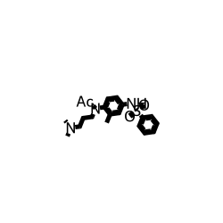 CC(=O)N(CCCN(C)C)c1ccc(NS(=O)(=O)c2ccccc2)cc1C